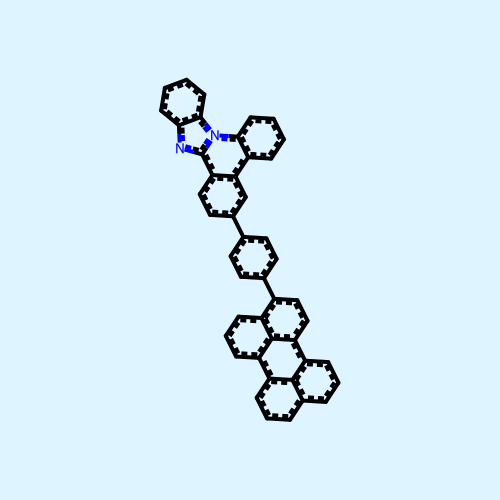 c1ccc2c(c1)nc1c3ccc(-c4ccc(-c5ccc6c7cccc8cccc(c9cccc5c96)c87)cc4)cc3c3ccccc3n21